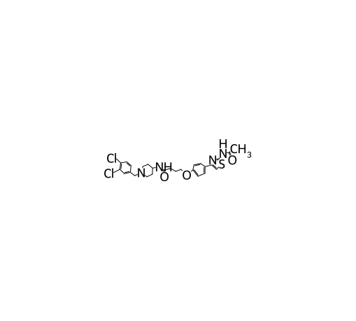 CC(=O)Nc1nc(-c2ccc(OCCCC(=O)NC3CCN(Cc4ccc(Cl)c(Cl)c4)CC3)cc2)cs1